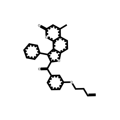 C=CCCOc1cccc(C(=O)c2oc3ccc4c(C)cc(=O)oc4c3c2-c2ccccc2)c1